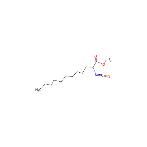 CCCCCCCCCCC(N=C=O)C(=O)OC